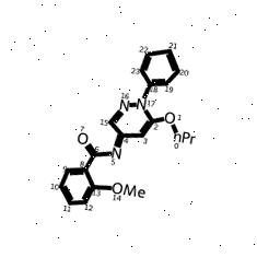 CCCOc1cc(=NC(=O)c2ccccc2OC)cnn1-c1ccccc1